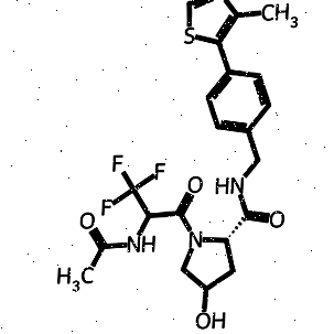 CC(=O)NC(C(=O)N1CC(O)C[C@H]1C(=O)NCc1ccc(-c2scnc2C)cc1)C(F)(F)F